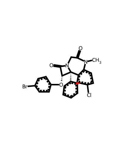 CN1C(=O)CN2C(=O)[C@@H](Oc3ccc(Br)cc3)[C@]2(c2ccccc2)c2cc(Cl)ccc21